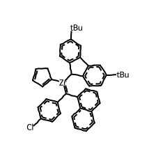 CC(C)(C)c1ccc2c(c1)-c1cc(C(C)(C)C)ccc1[CH]2[Zr]([C]1=CC=CC1)=[C](c1ccc(Cl)cc1)c1cccc2ccccc12